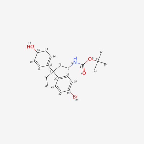 CCC(CCNC(=O)OC(C)(C)C)(C1=CCC(O)C=C1)c1ccc(Br)cc1